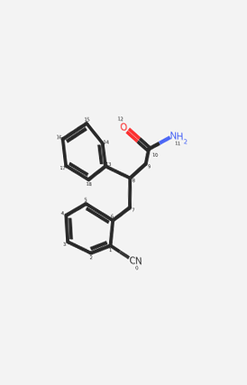 N#Cc1ccccc1CC(CC(N)=O)c1ccccc1